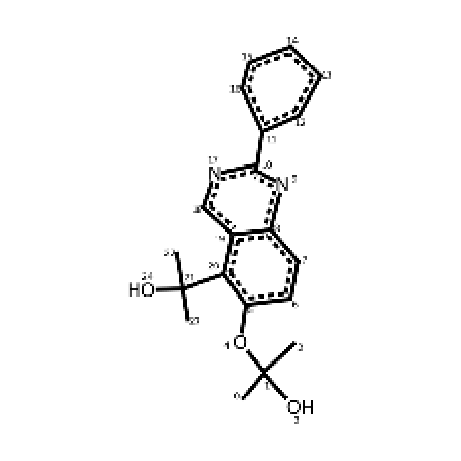 CC(C)(O)Oc1ccc2nc(-c3ccccc3)ncc2c1C(C)(C)O